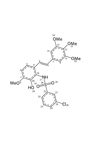 COc1ccc(C=Cc2cc(OC)c(OC)c(OC)c2)c(NS(=O)(=O)c2cccc(Cl)c2)c1O